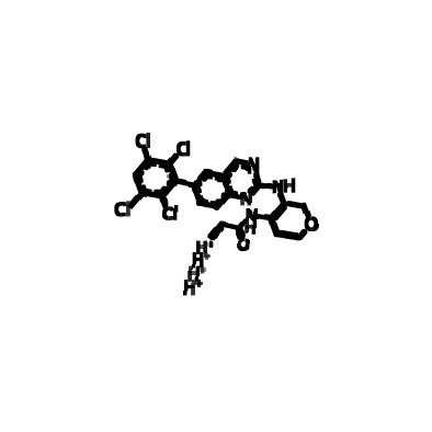 C=CC(=O)NC1=C(Nc2ncc3cc(-c4c(Cl)c(Cl)cc(Cl)c4Cl)ccc3n2)COC=C1.[H+].[H+].[H+].[H+]